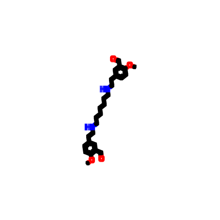 COc1ccc(CCNCCCCCCCNCCc2ccc(OC)c(C=O)c2)cc1C=O